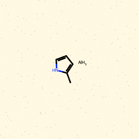 Cc1ccc[nH]1.[AlH3]